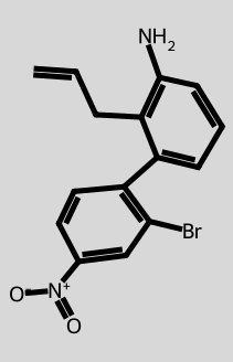 C=CCc1c(N)cccc1-c1ccc([N+](=O)[O-])cc1Br